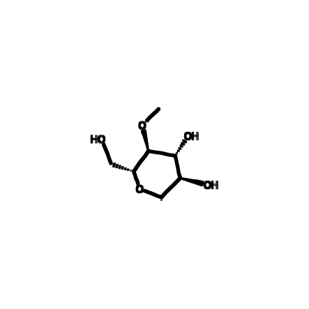 CO[C@H]1[C@H](O)[C@@H](O)[CH]O[C@@H]1CO